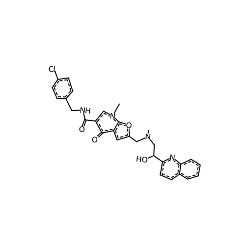 CN(Cc1cc2c(=O)c(C(=O)NCc3ccc(Cl)cc3)cn(C)c2o1)CC(O)c1ccc2ccccc2n1